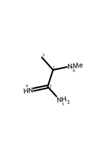 CNC(C)C(=N)N